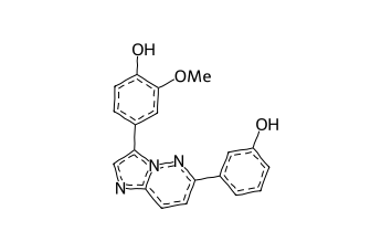 COc1cc(-c2cnc3ccc(-c4cccc(O)c4)nn23)ccc1O